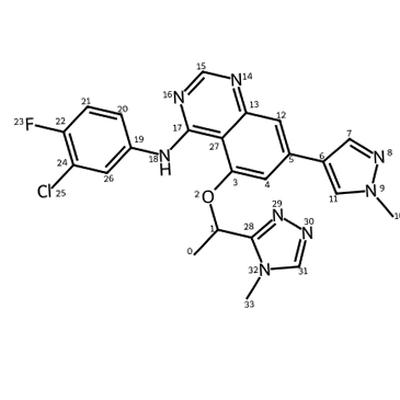 CC(Oc1cc(-c2cnn(C)c2)cc2ncnc(Nc3ccc(F)c(Cl)c3)c12)c1nncn1C